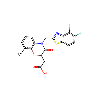 Cc1cccc2c1OC(CC(=O)O)C(=O)N2Cc1nc2c(F)c(F)ccc2s1